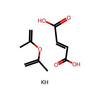 C=C(C)OC(=C)C.O=C(O)C=CC(=O)O.[KH]